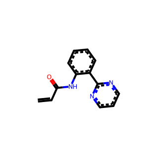 C=CC(=O)Nc1ccccc1-c1ncccn1